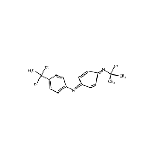 CCC(C)(C)N=C1C=CC(=Nc2ccc(C(C)(CC)CC)cc2)C=C1